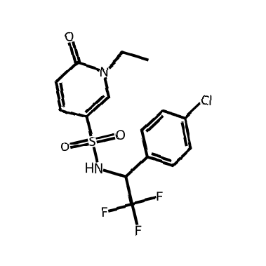 CCn1cc(S(=O)(=O)NC(c2ccc(Cl)cc2)C(F)(F)F)ccc1=O